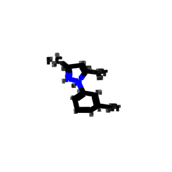 CC(C)c1cccc(-n2nc(C(F)(F)F)cc2C(C)C)c1